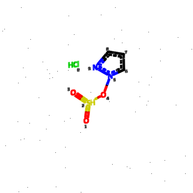 Cl.O=[SH](=O)On1cccn1